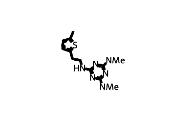 CNc1nc(NC)nc(NCCc2ccc(C)s2)n1